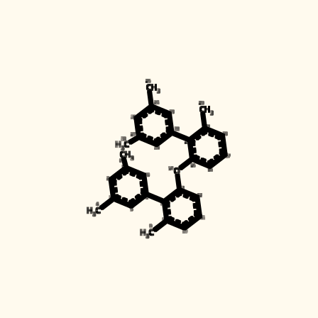 Cc1cc(C)cc(-c2c(C)cccc2Oc2cccc(C)c2-c2cc(C)cc(C)c2)c1